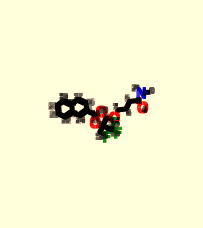 CN(C)C(=O)CCCOC(=O)C(C)(OCc1ccc2ccccc2c1)C(F)(F)F